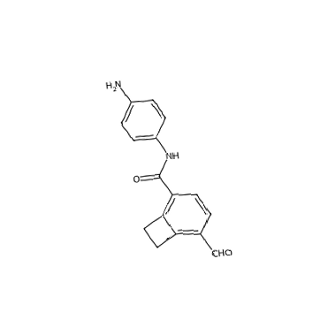 Nc1ccc(NC(=O)c2ccc(C=O)c3c2CC3)cc1